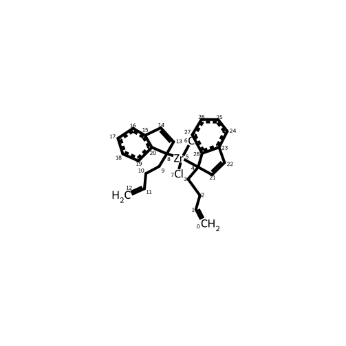 C=CCC[C]1([Zr]([Cl])([Cl])[C]2(CCC=C)C=Cc3ccccc32)C=Cc2ccccc21